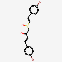 O=C(/C=C/c1ccc(Br)cc1)C[S+]([O-])C=Cc1ccc(Br)cc1